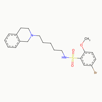 COc1ccc(Br)cc1S(=O)(=O)NCCCCCN1CCc2ccccc2C1